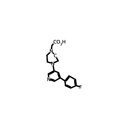 O=C(O)CN1CCN(c2cncc(-c3ccc(F)cc3)c2)CC1